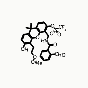 COOCCc1c(O)ccc2c1Oc1c(ccc(OS(=O)(=O)C(F)(F)F)c1CNC(=O)c1ccccc1C=O)C2(C)C